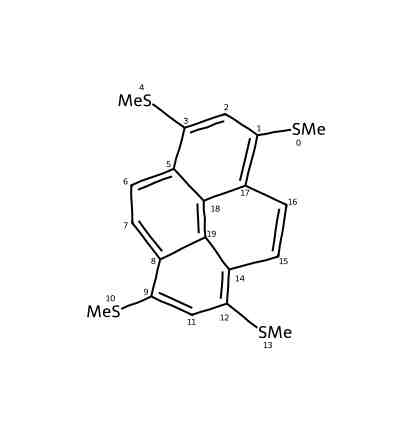 CSc1cc(SC)c2ccc3c(SC)cc(SC)c4ccc1c2c43